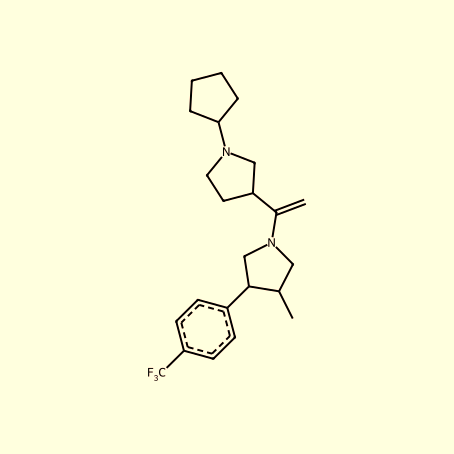 C=C(C1CCN(C2CCCC2)C1)N1CC(C)C(c2ccc(C(F)(F)F)cc2)C1